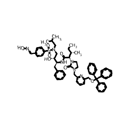 CC[C@H](C)[C@@H](C(=O)N[C@@H](Cc1ccccc1)[C@H](O)CN(CC(C)C)S(=O)(=O)c1ccc(C=NO)cc1)N1CCN(Cc2cccc(COC(c3ccccc3)(c3ccccc3)c3ccccc3)n2)C1=O